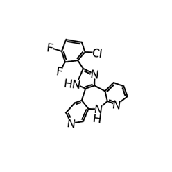 Fc1ccc(Cl)c(-c2nc3c([nH]2)-c2ccncc2Nc2ncccc2-3)c1F